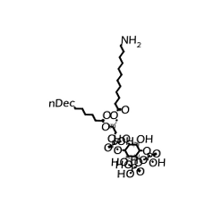 CCCCCCCCCCCCCCCC(=O)O[C@H](COC(=O)CCCCCCCCCCCN)COP(=O)(O)OC1C(O)[C@@H](O)C(OP(=O)(O)O)[C@@H](OP(=O)(O)O)[C@H]1O